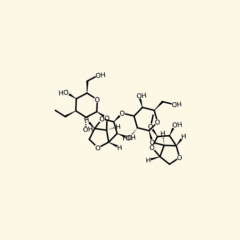 CC[C@H]1[C@@H](O)[C@@H](CO)O[C@@H](O[C@H]2[C@H]3OC[C@@H]2O[C@@H](OC2[C@@H](O)[C@H](O[C@H]4[C@H]5OC[C@@H]4O[C@@H](OC)[C@H]5O)O[C@H](CO)[C@@H]2O)[C@H]3O)[C@@H]1O